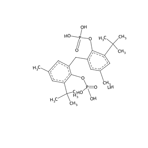 Cc1cc(Cc2cc(C)cc(C(C)(C)C)c2OP(=O)(O)O)c(OP(=O)(O)O)c(C(C)(C)C)c1.[LiH]